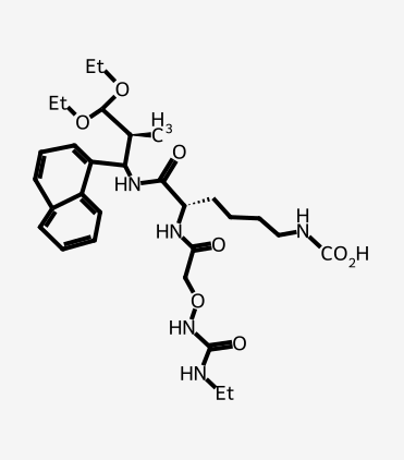 CCNC(=O)NOCC(=O)N[C@@H](CCCCNC(=O)O)C(=O)NC(c1cccc2ccccc12)[C@H](C)C(OCC)OCC